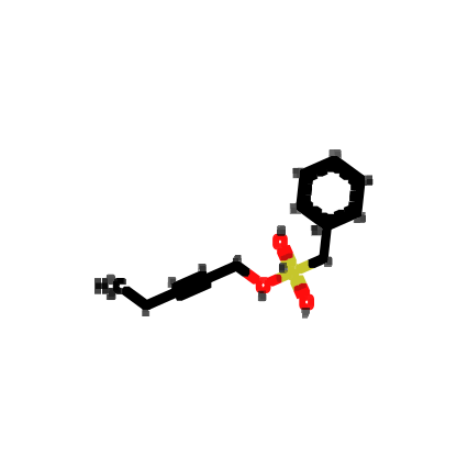 CCC#CCOS(=O)(=O)Cc1ccccc1